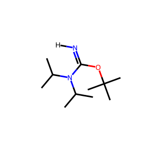 [H]/N=C(/OC(C)(C)C)N(C(C)C)C(C)C